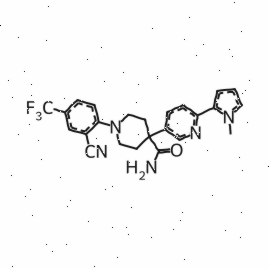 Cn1cccc1-c1ccc(C2(C(N)=O)CCN(c3ccc(C(F)(F)F)cc3C#N)CC2)cn1